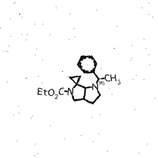 CCOC(=O)N1CC2CCN([C@H](C)c3ccccc3)C2C12CC2